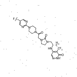 C[C@@H](CN1CCN(CC(=O)N2CCN(c3ncc(C(F)(F)F)cn3)CC2)C1=O)Nc1cn[nH]c(=O)c1C(F)(F)F